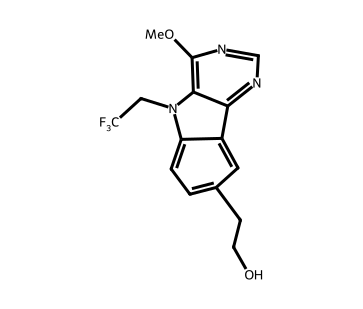 COc1ncnc2c3cc(CCO)ccc3n(CC(F)(F)F)c12